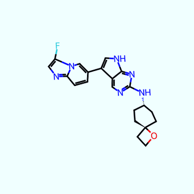 Fc1cnc2ccc(-c3c[nH]c4nc(N[C@H]5CC[C@@]6(CCO6)CC5)ncc34)cn12